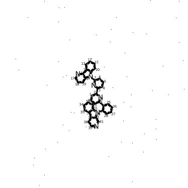 c1cc(-c2cccc(-n3c4ccccc4c4ncccc43)n2)nc(-c2ccccc2-n2c3ccccc3c3ccncc32)c1